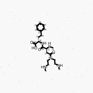 CNCCN(CCNC)C(=O)C[C@H](NC)C(=O)N[C@@H](CCc1ccccc1)C(=O)O